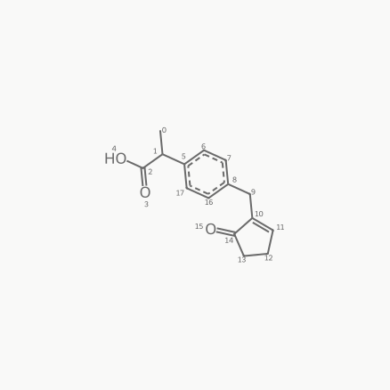 CC(C(=O)O)c1ccc(CC2=CCCC2=O)cc1